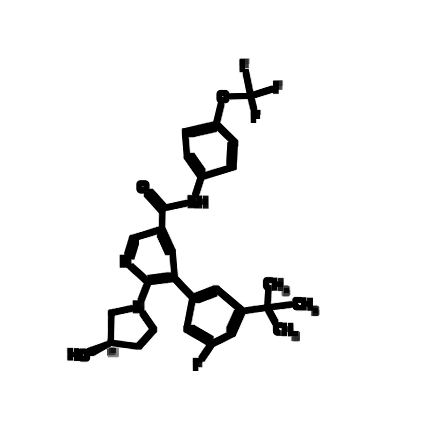 CC(C)(C)c1cc(F)cc(-c2cc(C(=O)Nc3ccc(OC(F)(F)F)cc3)cnc2N2CC[C@@H](O)C2)c1